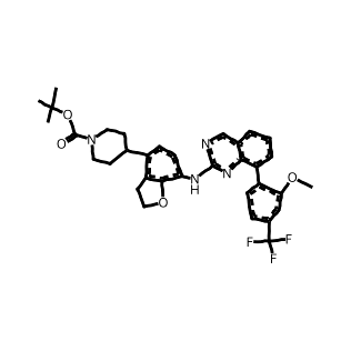 COc1cc(C(F)(F)F)ccc1-c1cccc2cnc(Nc3ccc(C4CCN(C(=O)OC(C)(C)C)CC4)c4c3OCC4)nc12